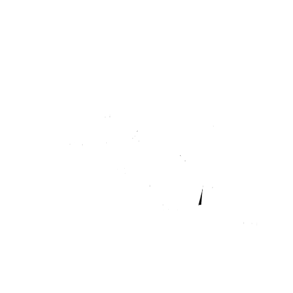 CC(C)(C)OC(=O)N1CCC[C@H](CO)[C@H]1CO